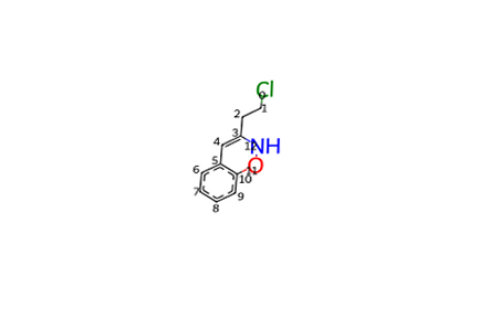 ClCCC1=Cc2ccccc2ON1